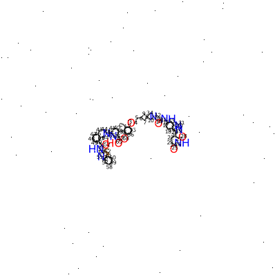 Cc1c(OCCC2CC3(C2)CN(CC(=O)Nc2ccc4c(C5CCC(=O)NC5=O)nn(C)c4c2)C3)cccc1-c1ccc(N2CCc3cccc(C(=O)Nc4nc5ccccc5s4)c3C2)nc1C(=O)O